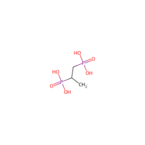 [CH2]C(CP(=O)(O)O)P(=O)(O)O